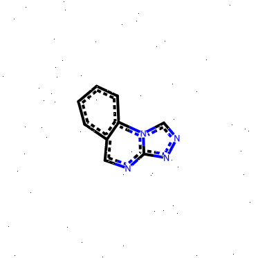 c1ccc2c(c1)cnc1nncn12